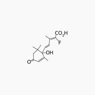 CC1=CC(=O)CC(C)(C)C1(O)/C=C/C(C)=C(\F)C(=O)O